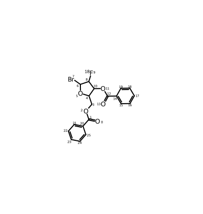 O=C(OCC1OC(Br)C([18F])C1OC(=O)c1ccccc1)c1ccccc1